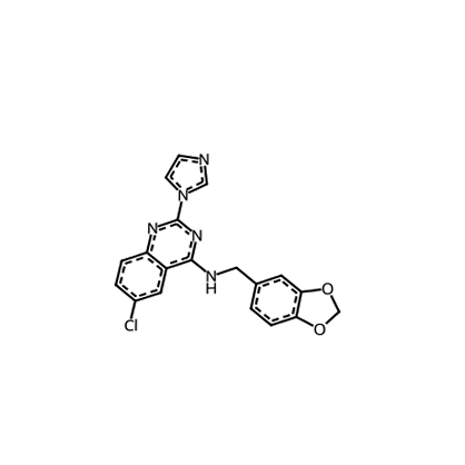 Clc1ccc2nc(-n3ccnc3)nc(NCc3ccc4c(c3)OCO4)c2c1